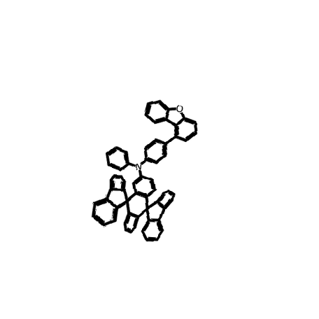 c1ccc(N(c2ccc(-c3cccc4oc5ccccc5c34)cc2)c2ccc3c(c2)C2(c4ccccc4-c4ccccc42)c2ccccc2C32c3ccccc3-c3ccccc32)cc1